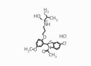 COc1ccc(OCCCN[C@H](CO)C(C)C)c(C2Sc3cc(Cl)ccc3N2C(C)=O)c1.Cl